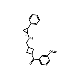 COc1cccc(C(=O)N2CC(CN[C@H]3CC3c3ccccc3)C2)c1